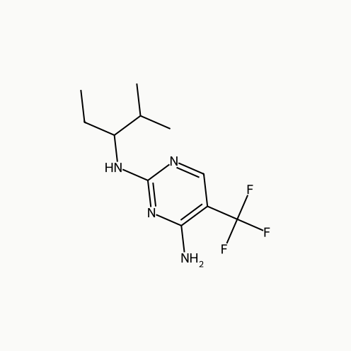 CCC(Nc1ncc(C(F)(F)F)c(N)n1)C(C)C